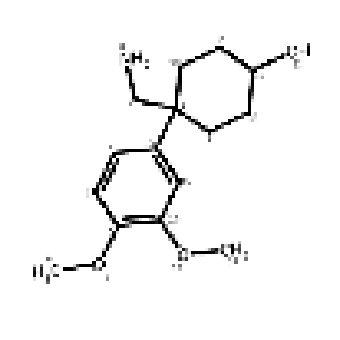 COc1ccc(C2(CN)CCC(O)CC2)cc1OC